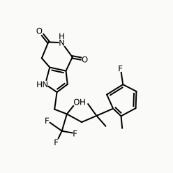 Cc1ccc(F)cc1C(C)(C)CC(O)(Cc1cc2c([nH]1)CC(=O)NC2=O)C(F)(F)F